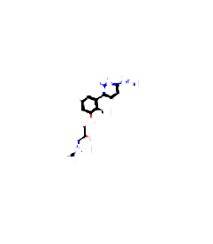 Cc1c(OCC(O)CNC(C)(C)C)cccc1-c1ccc(NN)nn1